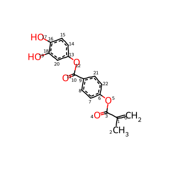 C=C(C)C(=O)Oc1ccc(C(=O)Oc2ccc(O)c(O)c2)cc1